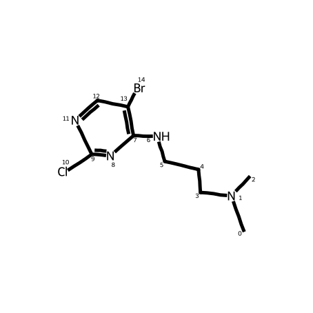 CN(C)CCCNc1nc(Cl)ncc1Br